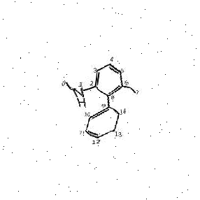 CNc1cccc(C)c1C1=CC=CCC1